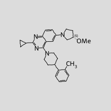 CO[C@H]1CCN(c2ccc3nc(C4CC4)nc(N4CCC(c5ccccc5C)CC4)c3c2)C1